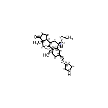 CO/N=C1\CC2C(CC[C@]3(C)C(=O)CCC23)[C@@]2(CO)CCC(=NO[C@H]3CCNC3)C[C@H]12